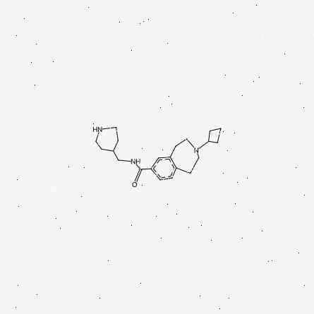 O=C(NCC1CCNCC1)c1ccc2c(c1)CCN(C1CCC1)CC2